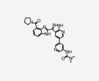 CN(C)C(=O)Nc1cncc(-c2cnc3[nH]nc(-c4nc5c(C(=O)N6CCCC6)cccc5[nH]4)c3c2)c1